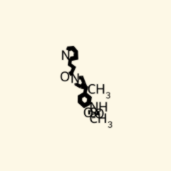 CC1(c2cccc(NS(C)(=O)=O)c2)C2CN(C(=O)CCc3ccccn3)CC21